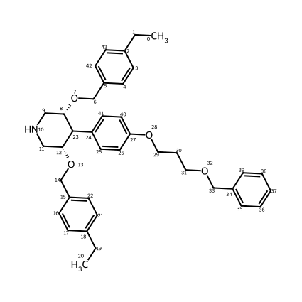 CCc1ccc(CO[C@H]2CNC[C@@H](OCc3ccc(CC)cc3)C2c2ccc(OCCCOCc3ccccc3)cc2)cc1